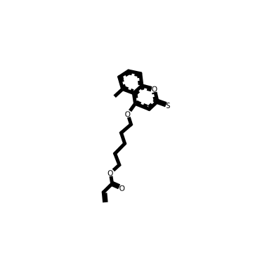 C=CC(=O)OCCCCCOc1cc(=S)oc2cccc(C)c12